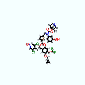 O=C(O[C@@H](Cc1c(Cl)c[n+]([O-])cc1Cl)c1ccc(OC(F)F)c(OCC2CC2)c1)c1ccc(CN(C(=O)O[C@H]2CN3CCC2CC3)c2cccc(O)c2)s1